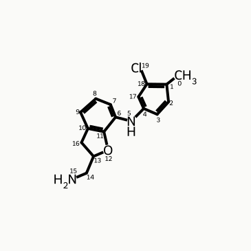 Cc1ccc(Nc2cccc3c2OC(CN)C3)cc1Cl